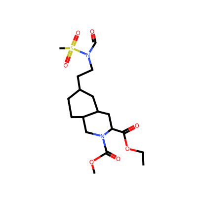 CCOC(=O)C1CC2CC(CCN(C=O)S(C)(=O)=O)CCC2CN1C(=O)OC